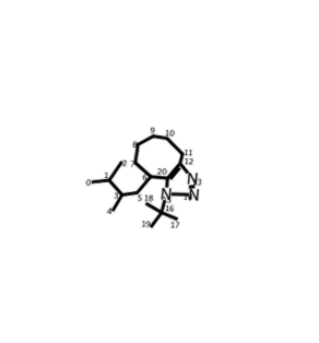 CC(C)C(C)CC1CCCCCc2nnn(C(C)(C)C)c21